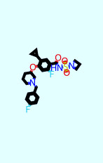 O=C(NS(=O)(=O)N1CCC1)c1cc(C2CC2)c(OC2CCCN(Cc3ccc(F)cc3)C2)cc1F